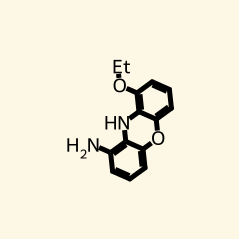 CCOc1cccc2c1Nc1c(N)cccc1O2